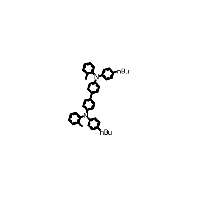 CCCCc1ccc(N(c2ccc(-c3ccc(N(c4ccc(CCCC)cc4)c4ccccc4C)cc3)cc2)c2ccccc2C)cc1